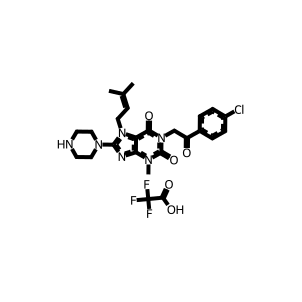 CC(C)=CCn1c(N2CCNCC2)nc2c1c(=O)n(CC(=O)c1ccc(Cl)cc1)c(=O)n2C.O=C(O)C(F)(F)F